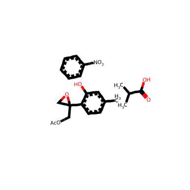 CC(=O)OCC1(c2ccc(C)cc2O)CO1.CC(C)C(=O)O.O=[N+]([O-])c1ccccc1